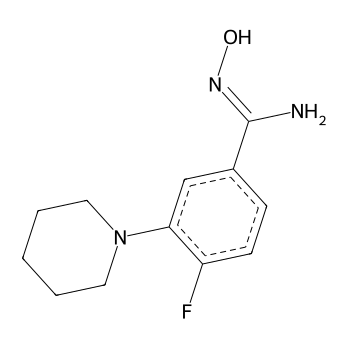 N/C(=N\O)c1ccc(F)c(N2CCCCC2)c1